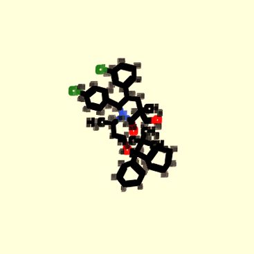 C[C@H](CCO[Si](c1ccccc1)(c1ccccc1)C(C)(C)C)N1C(=O)C(C)(C=O)CC(c2cccc(Cl)c2)C1c1ccc(Cl)cc1